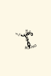 C=C/C=C\C(=C(/Cc1csc(N2CCC(C=O)(CO)CC2)n1)OCc1ccc(C(=O)N2CCCCC2)cc1C)C(F)(F)F